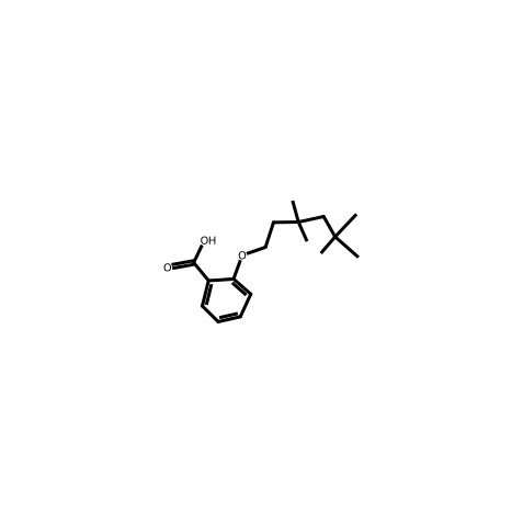 CC(C)(C)CC(C)(C)CCOc1ccccc1C(=O)O